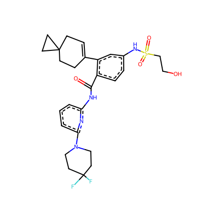 O=C(Nc1cccc(N2CCC(F)(F)CC2)n1)c1ccc(NS(=O)(=O)CCO)cc1C1=CCC2(CC1)CC2